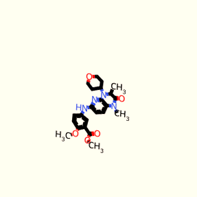 COC(=O)c1cc(Nc2ccc3c(n2)N(C2CCOCC2)C(C)C(=O)N3C)ccc1OC